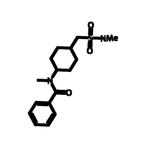 CNS(=O)(=O)CC1CCC(N(C)C(=O)c2ccccc2)CC1